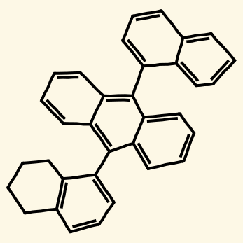 c1cc2c(c(-c3c4ccccc4c(-c4cccc5ccccc45)c4ccccc34)c1)CCCC2